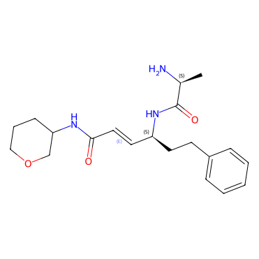 C[C@H](N)C(=O)N[C@H](/C=C/C(=O)NC1CCCOC1)CCc1ccccc1